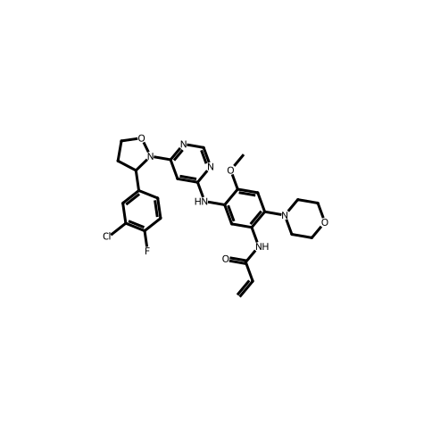 C=CC(=O)Nc1cc(Nc2cc(N3OCCC3c3ccc(F)c(Cl)c3)ncn2)c(OC)cc1N1CCOCC1